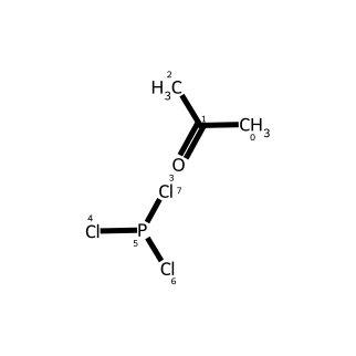 CC(C)=O.ClP(Cl)Cl